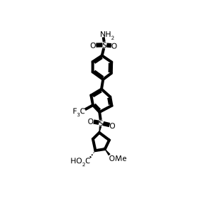 CO[C@@H]1C[C@H](S(=O)(=O)c2ccc(-c3ccc(S(N)(=O)=O)cc3)cc2C(F)(F)F)C[C@H]1C(=O)O